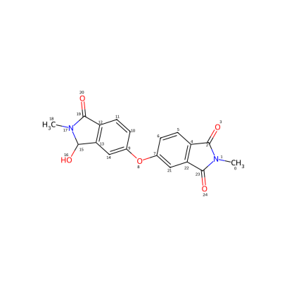 CN1C(=O)c2ccc(Oc3ccc4c(c3)C(O)N(C)C4=O)cc2C1=O